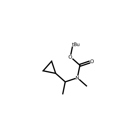 CC(C1CC1)N(C)C(=O)OC(C)(C)C